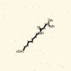 CCCCCCCCCCCCCCCCCNC(=O)CCN(CCC)CCC